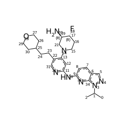 CC(C)n1ncc2ccc(Nc3cc(N4CC[C@@H](F)[C@H](N)C4)c(CCC4CCOCC4)cn3)nc21